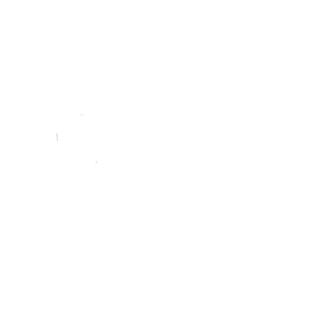 F[B-](F)(F)/C=C/CCCc1ccccc1